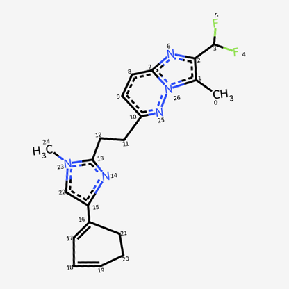 Cc1c(C(F)F)nc2ccc(CCc3nc(C4=CC=CCC4)cn3C)nn12